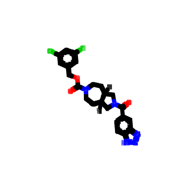 O=C(OCc1cc(Cl)cc(Cl)c1)N1CC[C@@H]2CN(C(=O)c3ccc4[nH]nnc4c3)C[C@@H]2CC1